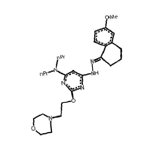 CCCN(CCC)c1cc(N/N=C2\CCCc3cc(OC)ccc32)nc(OCCN2CCOCC2)n1